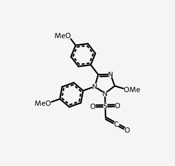 COc1ccc(C2=NC(OC)N(S(=O)(=O)C=C=O)N2c2ccc(OC)cc2)cc1